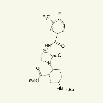 COC(=O)C1CC(NC(C)(C)C)CCC1N1CC[C@H](NC(=O)c2ccc(F)c(C(F)(F)F)c2)C1=O